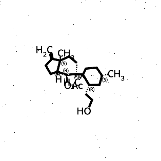 C=C1CC[C@H]2[C@H](OC(C)=O)[C@@H]([C@@]3(C)CC[C@H](C)C[C@@H]3CCO)CC[C@]12C